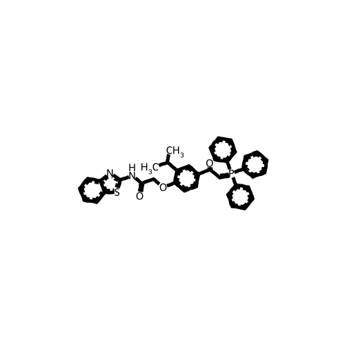 CC(C)c1cc(C(=O)C=P(c2ccccc2)(c2ccccc2)c2ccccc2)ccc1OCC(=O)Nc1nc2ccccc2s1